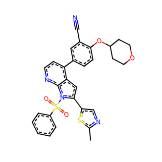 Cc1ncc(-c2cc3c(-c4ccc(OC5CCOCC5)c(C#N)c4)ccnc3n2S(=O)(=O)c2ccccc2)s1